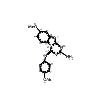 COc1ccc(/N=c2\nc(N)nc3sc4cc(OC)ccc4n23)cc1